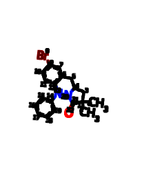 CC1(C)CC2Cc3cc(Br)ccc3N(c3ccccc3)N2C1=O